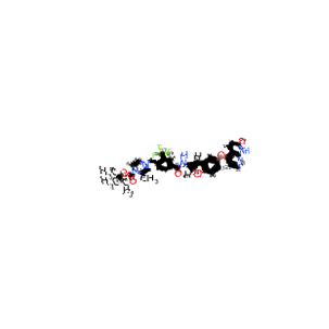 C[C@H]1CN(Cc2ccc(C(=O)N[C@@H]3[C@H]4Oc5ccc(Oc6ccnc7c6CCC(=O)N7)cc5[C@@H]34)cc2C(F)(F)F)CCN1C(=O)OC(C)(C)C